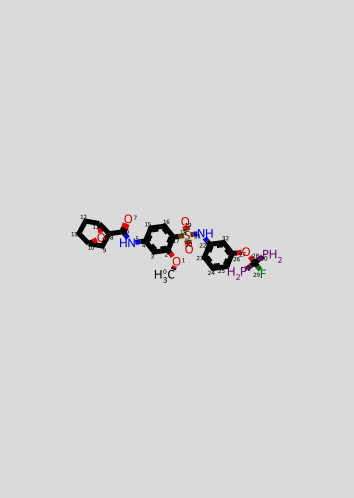 COc1cc(NC(=O)C2CC3CCC2O3)ccc1S(=O)(=O)Nc1cccc(OC(F)(P)P)c1